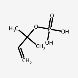 C=CC(C)(C)OP(=O)(O)O